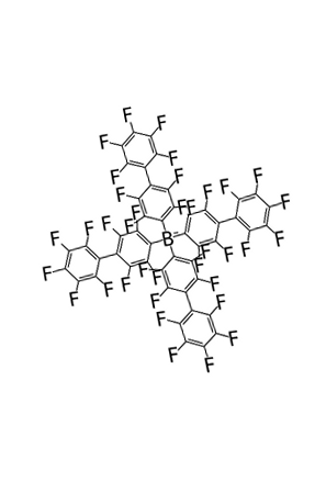 Fc1c(F)c(F)c(-c2c(F)c(F)c([B-](c3c(F)c(F)c(-c4c(F)c(F)c(F)c(F)c4F)c(F)c3F)(c3c(F)c(F)c(-c4c(F)c(F)c(F)c(F)c4F)c(F)c3F)c3c(F)c(F)c(-c4c(F)c(F)c(F)c(F)c4F)c(F)c3F)c(F)c2F)c(F)c1F